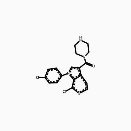 O=C(c1cn(-c2ccc(Cl)cc2)c2c(Cl)nccc12)N1CCNCC1